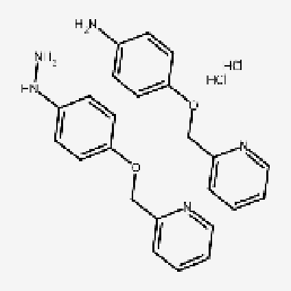 Cl.Cl.NNc1ccc(OCc2ccccn2)cc1.Nc1ccc(OCc2ccccn2)cc1